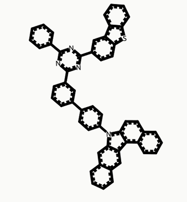 c1ccc(-c2nc(-c3cccc(-c4ccc(-n5c6cc7ccccc7cc6c6c7ccccc7ccc65)cc4)c3)nc(-c3ccc4sc5ccccc5c4c3)n2)cc1